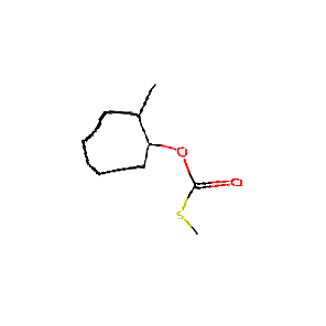 CSC(=O)OC1CCCCC1C